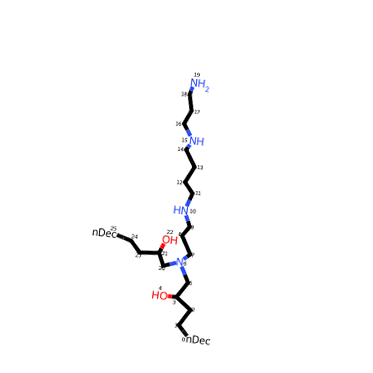 CCCCCCCCCCCCC(O)CN(CCCNCCCCNCCCN)CC(O)CCCCCCCCCCCC